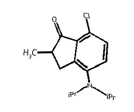 CC1Cc2c(N(C(C)C)C(C)C)ccc(Cl)c2C1=O